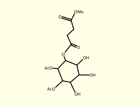 COC(=O)CCC(=O)OC1C(O)C(O)C(O)C(OC(C)=O)C1OC(C)=O